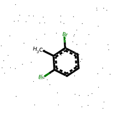 Cc1c(Br)[c]ccc1Br